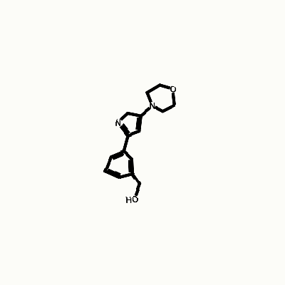 OCc1cccc(C2=NCC(N3CCOCC3)=C2)c1